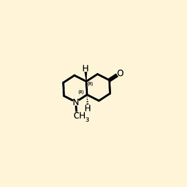 CN1CCC[C@@H]2CC(=O)CC[C@H]21